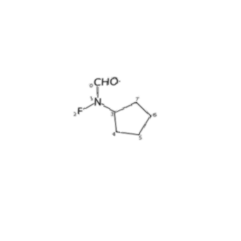 O=[C]N(F)C1CCCC1